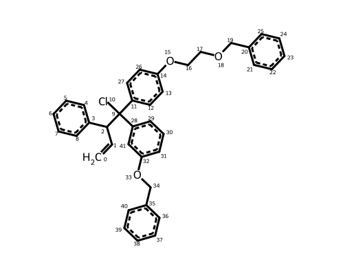 C=CC(c1ccccc1)C(Cl)(c1ccc(OCCOCc2ccccc2)cc1)c1cccc(OCc2ccccc2)c1